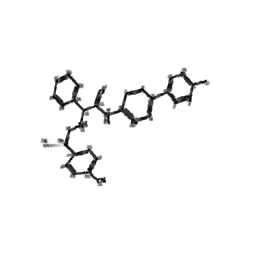 Cc1ncc(-c2ccc(NC(=O)C(NC[C@@H](C)c3ccc(C#N)cc3)c3ccccc3)nc2)cn1